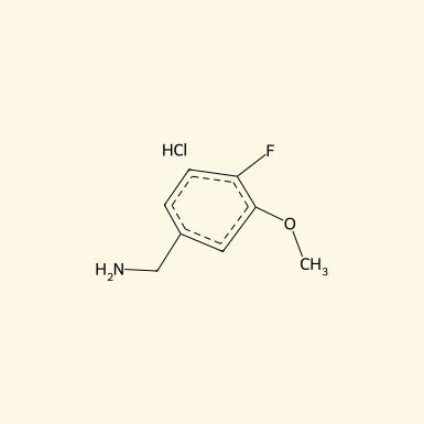 COc1cc(CN)ccc1F.Cl